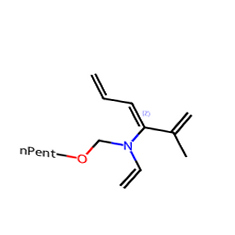 C=C/C=C(/C(=C)C)N(C=C)COCCCCC